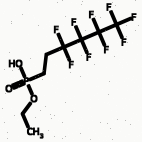 CCOP(=O)(O)CCC(F)(F)C(F)(F)C(F)(F)C(F)(F)F